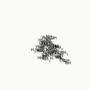 CC[C@H](C)[C@H](NC(=O)[C@@H]1C[C@@H](O)CN1C(=O)[C@@H](N)C(C)C)C(=O)N[C@H](C(=O)N[C@@H](Cc1ccc(O)cc1)C(=O)N[C@H](C(=O)N[C@@H](CC(N)=O)C(=O)N[C@@H](CCCNC(=N)N)C(=O)N[C@@H](CCN)C(=O)N[C@H](C(=O)N[C@H](CCN)C(=O)N[C@@H](CCCNC(N)=O)C(=O)N[C@@H](CCN)C(=O)N[C@@H](CCN)C(=O)N[C@@H](CS)C(=O)N[C@@H](Cc1ccc(O)cc1)C(=O)O)[C@@H](C)O)[C@@H](C)O)C(C)(C)S